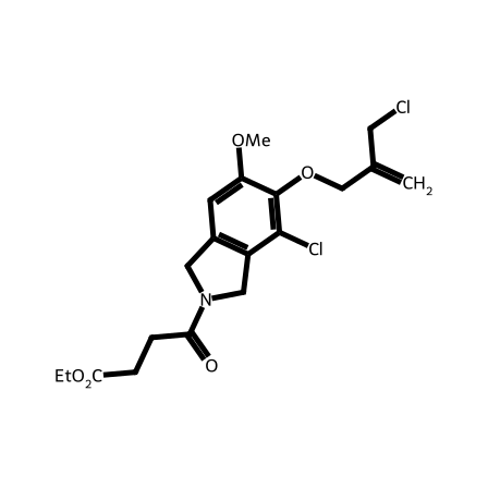 C=C(CCl)COc1c(OC)cc2c(c1Cl)CN(C(=O)CCC(=O)OCC)C2